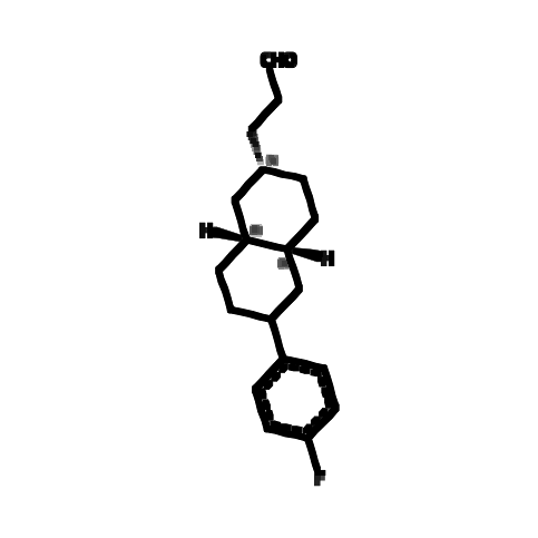 O=CCC[C@@H]1CC[C@@H]2CC(c3ccc(F)cc3)CC[C@@H]2C1